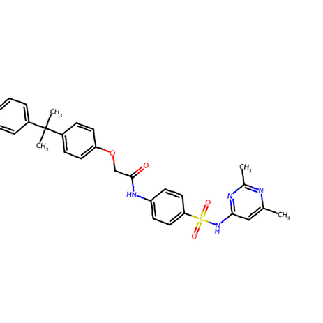 Cc1cc(NS(=O)(=O)c2ccc(NC(=O)COc3ccc(C(C)(C)c4ccccc4)cc3)cc2)nc(C)n1